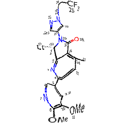 CC[C@H]1c2nc(-c3cnc(OC)c(OC)c3)cc(C)c2C(=O)N1c1cnn(CC(F)(F)F)c1